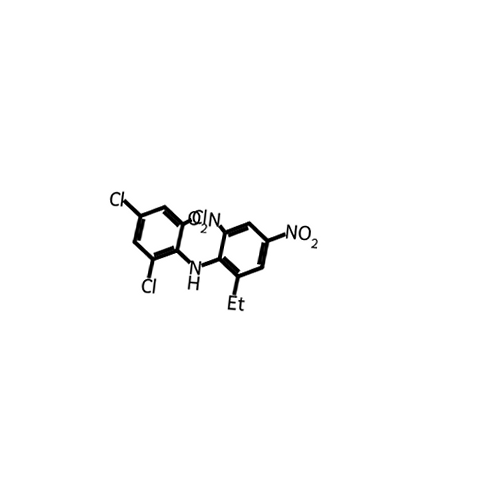 CCc1cc([N+](=O)[O-])cc([N+](=O)[O-])c1Nc1c(Cl)cc(Cl)cc1Cl